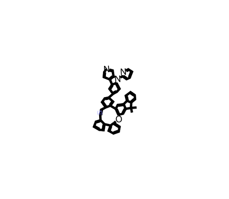 CC1(C)c2ccccc2-c2cc3c(cc21)Oc1ccccc1-c1ccccc1/C=C\c1ccc(-c2ccc4c(c2)c2ccncc2n4-c2ccccn2)cc1-3